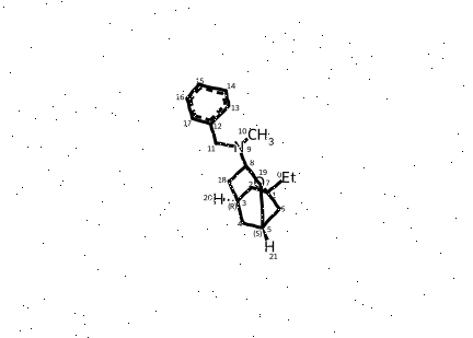 CCC12C[C@H]3C[C@@H](C1)CC(N(C)Cc1ccccc1)(C3)O2